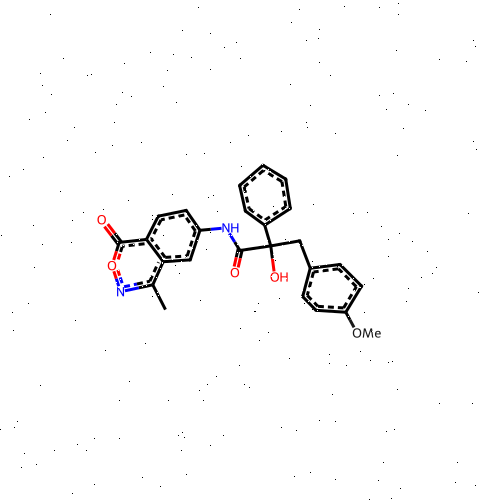 COc1ccc(CC(O)(C(=O)Nc2ccc3c(=O)onc(C)c3c2)c2ccccc2)cc1